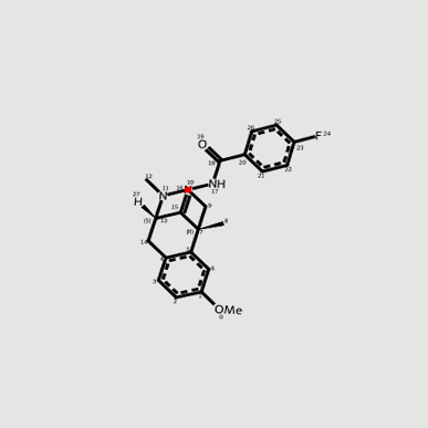 COc1ccc2c(c1)[C@@]1(C)CCN(C)[C@@H](C2)C1=NNC(=O)c1ccc(F)cc1